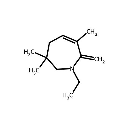 C=C1C(C)=CCC(C)(C)CN1CC